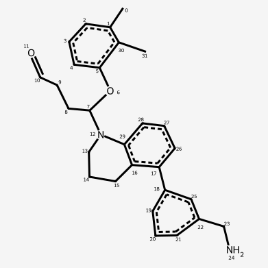 Cc1cccc(OC(CCC=O)N2CCCc3c(-c4cccc(CN)c4)cccc32)c1C